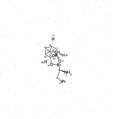 CC(C)C[C@H](N)B1O[C@@H]2C[C@@H]3CC([C@@H]2O1)C3(C)C